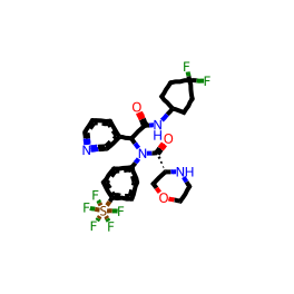 O=C(NC1CCC(F)(F)CC1)C(c1cccnc1)N(C(=O)[C@H]1COCCN1)c1ccc(S(F)(F)(F)(F)F)cc1